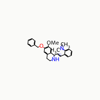 COc1cc2c(cc1OCc1ccccc1)CCNC2/C=C/c1ccccc1N(C)C